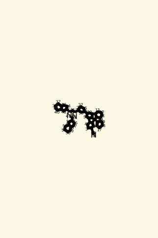 N#Cc1ccc2c(c1)C(c1ccccc1)(c1ccccc1)c1ccc(-c3cccc(-c4cc(-c5ccc6ccccc6c5)nc(-c5ccc6ccccc6c5)n4)c3)cc1-2